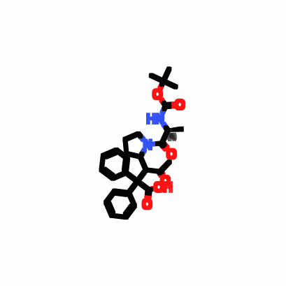 CC(=O)C(C1CCCN1C(=O)[C@H](C)NC(=O)OC(C)(C)C)C(C(=O)O)(c1ccccc1)c1ccccc1